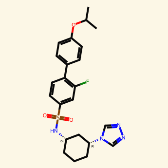 CC(C)Oc1ccc(-c2ccc(S(=O)(=O)N[C@H]3CCC[C@@H](n4cnnc4)C3)cc2F)cc1